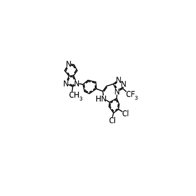 Cc1nc2cnccc2n1-c1ccc(C2=Cc3nnc(C(F)(F)F)n3-c3cc(Cl)c(Cl)cc3N2)cc1